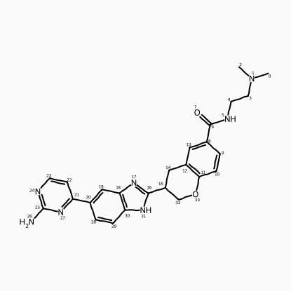 CN(C)CCNC(=O)c1ccc2c(c1)CC(c1nc3cc(-c4ccnc(N)n4)ccc3[nH]1)CO2